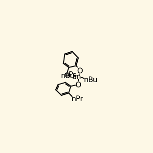 CCC[CH2][Sn]([CH2]CCC)([O]c1ccccc1CCC)[O]c1ccccc1CCC